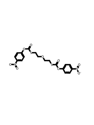 O=C(Oc1ccc([N+](=O)[O-])cc1)SCCOCCSC(=O)Oc1ccc([N+](=O)[O-])cc1